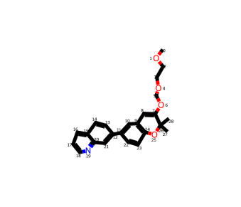 COCCOCOC1=Cc2cc(-c3ccc4cccnc4c3)ccc2OC1(C)C